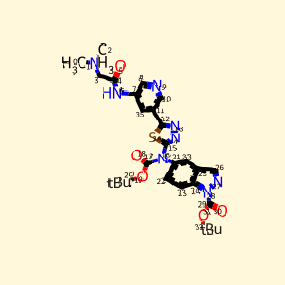 CN(C)CC(=O)Nc1cncc(-c2nnc(N(C(=O)OC(C)(C)C)c3ccc4c(cnn4C(=O)OC(C)(C)C)c3)s2)c1